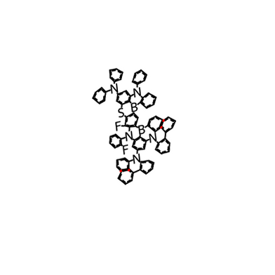 Fc1ccccc1N1c2cc(N(c3ccccc3)c3ccccc3-c3ccccc3)cc3c2B(c2ccccc2N3c2ccccc2-c2ccccc2)c2cc3c(c(F)c21)Sc1cc(N(c2ccccc2)c2ccccc2)cc2c1B3c1ccccc1N2c1ccccc1